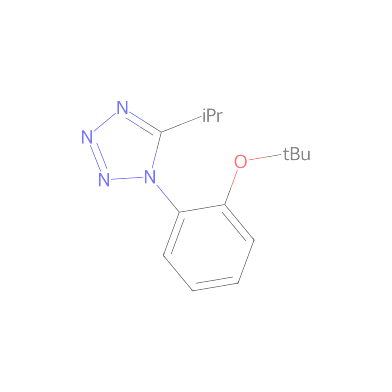 CC(C)c1nnnn1-c1ccccc1OC(C)(C)C